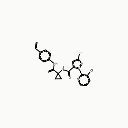 C=Cc1ccc(NC(=O)C2(NC(=O)c3cc(Br)nn3-c3ncccc3Cl)CC2)cc1